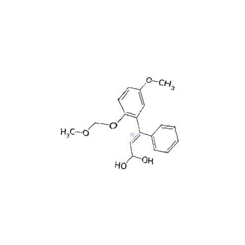 COCOc1ccc(OC)cc1/C(=C/C(O)O)c1ccccc1